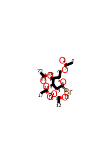 CC(=O)OCC1OC(Br)C(OC(C)=O)[C@H](OC(C)=O)[C@@H]1OC(C)=O